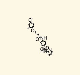 Cc1cc(Cl)ccc1OCCCC(=O)Nc1ccc(S(=O)(=O)Nc2nccs2)cc1